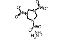 N.N.O=[N+]([O-])N1CN([N+](=O)[O-])CN([N+](=O)[O-])C1